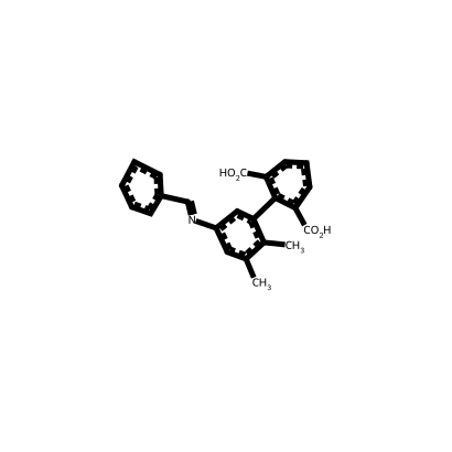 Cc1cc(N=Cc2ccccc2)cc(-c2c(C(=O)O)cccc2C(=O)O)c1C